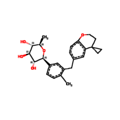 Cc1ccc([C@@H]2O[C@H](C)[C@@H](O)[C@H](O)[C@H]2O)cc1Cc1ccc2c(c1)C1(CCO2)CC1